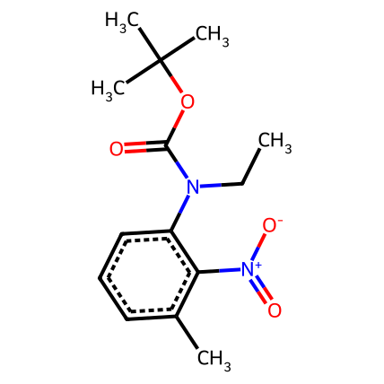 CCN(C(=O)OC(C)(C)C)c1cccc(C)c1[N+](=O)[O-]